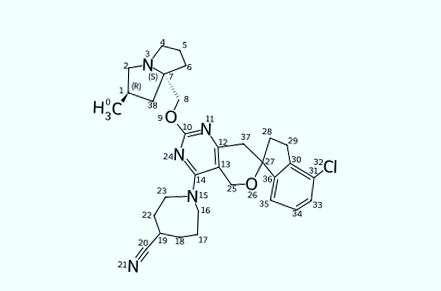 C[C@H]1CN2CCC[C@@]2(COc2nc3c(c(N4CCCC(C#N)CC4)n2)COC2(CCc4c(Cl)cccc42)C3)C1